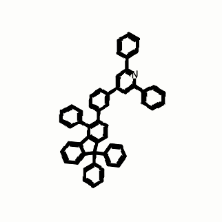 c1ccc(-c2cc(-c3cccc(-c4ccc5c(c4-c4ccccc4)-c4ccccc4C5(c4ccccc4)c4ccccc4)c3)cc(-c3ccccc3)n2)cc1